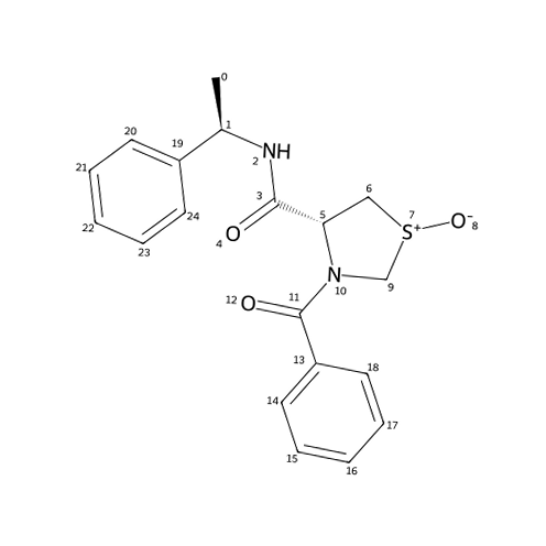 C[C@@H](NC(=O)[C@@H]1C[S+]([O-])CN1C(=O)c1ccccc1)c1ccccc1